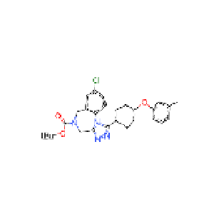 Cc1cccc(OC2CCC(c3nnc4n3-c3ccc(Cl)cc3CN(C(=O)OC(C)(C)C)C4)CC2)c1